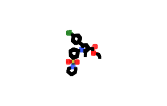 CCOC(=O)c1cc(-c2ccc(Cl)cc2)n(-c2cccc(S(=O)(=O)N3CCCCC3)c2)c1C